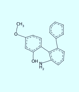 COc1ccc(-c2c(N)cccc2-c2ccccc2)c(O)c1